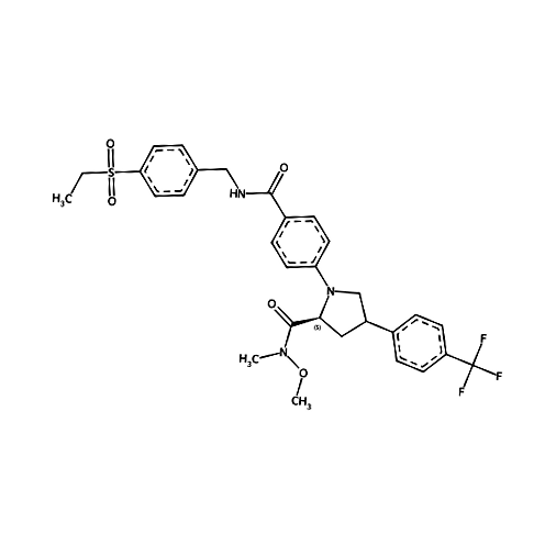 CCS(=O)(=O)c1ccc(CNC(=O)c2ccc(N3CC(c4ccc(C(F)(F)F)cc4)C[C@H]3C(=O)N(C)OC)cc2)cc1